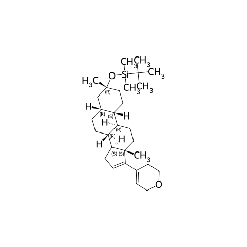 CC(C)(C)[Si](C)(C)O[C@]1(C)CC[C@H]2[C@H](CC[C@@H]3[C@@H]2CC[C@]2(C)C(C4=CCOCC4)=CC[C@@H]32)C1